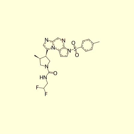 Cc1ccc(S(=O)(=O)n2ccc3c2ncc2ncc([C@H]4CN(C(=O)NCC(F)F)C[C@H]4C)n23)cc1